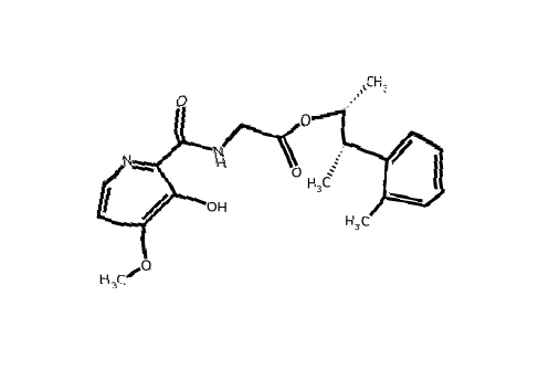 COc1ccnc(C(=O)NCC(=O)O[C@H](C)[C@@H](C)c2ccccc2C)c1O